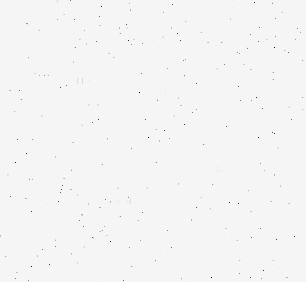 CCOc1c(OC)cc(C)cc1OC